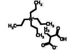 CC(C(=O)[O-])C(=O)O.CCC[N+](CCC)(CCC)CCC